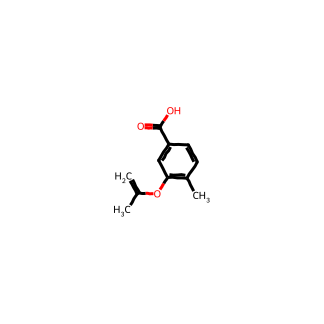 C=C(C)Oc1cc(C(=O)O)ccc1C